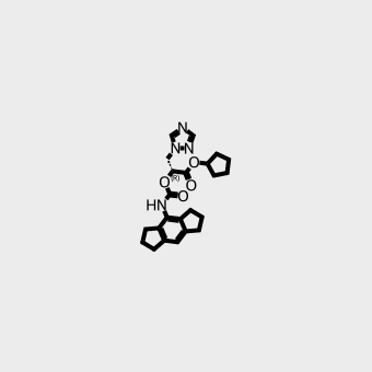 O=C(Nc1c2c(cc3c1CCC3)CCC2)O[C@H](Cn1cncn1)C(=O)OC1CCCC1